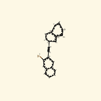 Brc1cc2ccccc2cc1C#Cc1ccc2ccccc2c1